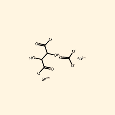 O=C([O-])C(O)C(O)C(=O)[O-].O=C([O-])[O-].[Sn+2].[Sn+2]